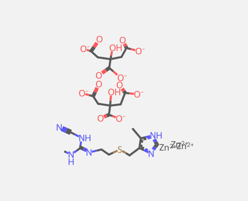 CNC(=NCCSCc1nc[nH]c1C)NC#N.O=C([O-])CC(O)(CC(=O)[O-])C(=O)[O-].O=C([O-])CC(O)(CC(=O)[O-])C(=O)[O-].[Zn+2].[Zn+2].[Zn+2]